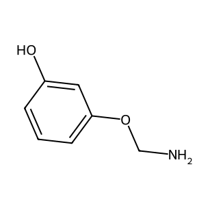 NCOc1cccc(O)c1